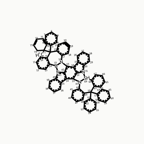 C[C@]1(C2(c3ccccc3)c3ccccc3B3N(c4cc#ccc42)c2c4c5ccccc5n5c4c(c4c6ccccc6n3c24)N2c3ccccc3C(c3ccccc3)(c3ccccc3)c3ccccc3[SH]25)C=CC=CC1